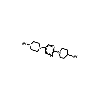 CC(C)C1CCN(c2ncc(N3CCN(C(C)C)CC3)cn2)CC1